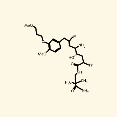 COCCCOc1cc(CC(CC(N)[C@@H](O)CC(C(=O)NCC(C)(C)C(N)=O)C(C)C)C(C)C)ccc1OC